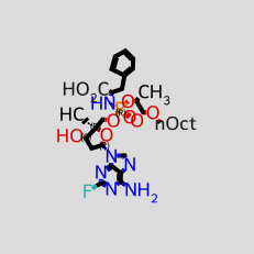 C#C[C@]1(CO[P@](=O)(NC(Cc2ccccc2)C(=O)O)OC(C)C(=O)OCCCCCCCC)O[C@@H](n2cnc3c(N)nc(F)nc32)C[C@@H]1O